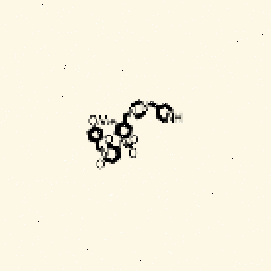 COc1ccc(CN2C(=O)CCC(n3c(=O)oc4cc(CN5CCN(CC6CCNCC6)CC5)ccc43)C2=O)cc1